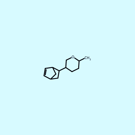 CC1CCC(C2CC3C=CC2C3)CO1